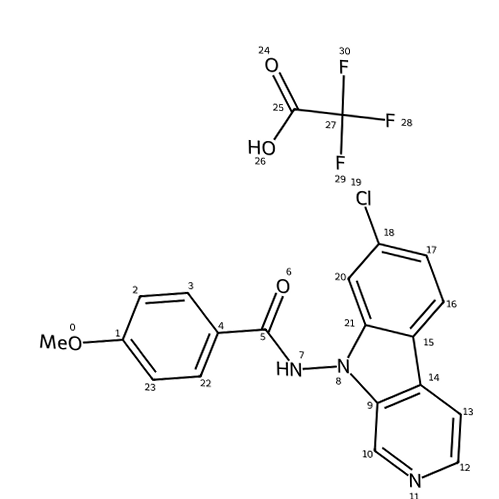 COc1ccc(C(=O)Nn2c3cnccc3c3ccc(Cl)cc32)cc1.O=C(O)C(F)(F)F